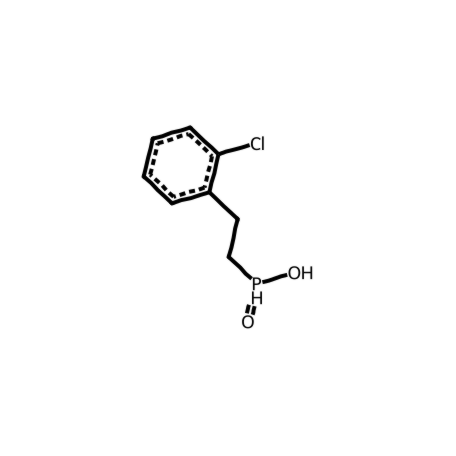 O=[PH](O)CCc1ccccc1Cl